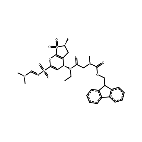 CCN(C(=O)CN(C)C(=O)OCC1c2ccccc2-c2ccccc21)[C@H]1C=C(S(=O)(=O)/N=C/N(C)C)SC2=C1C[C@H](C)S2(=O)=O